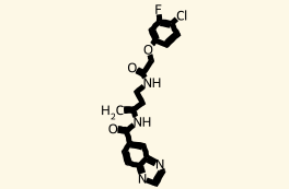 C=C(CCNC(=O)COc1ccc(Cl)c(F)c1)NC(=O)c1ccc2nccnc2c1